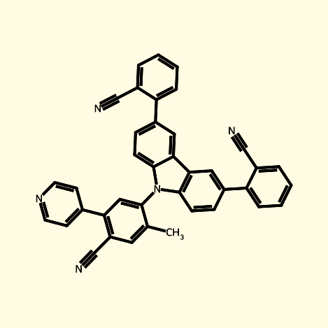 Cc1cc(C#N)c(-c2ccncc2)cc1-n1c2ccc(-c3ccccc3C#N)cc2c2cc(-c3ccccc3C#N)ccc21